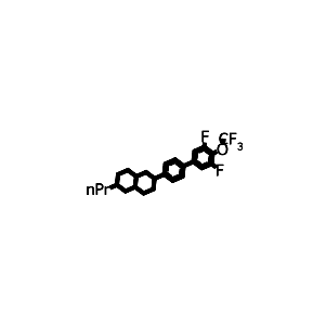 CCCC1CCC2CC(c3ccc(-c4cc(F)c(OC(F)(F)F)c(F)c4)cc3)CCC2C1